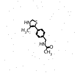 CC(=O)NCc1ccc(C2=C(C)NCS2)cc1